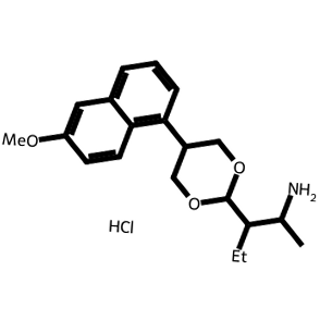 CCC(C(C)N)C1OCC(c2cccc3cc(OC)ccc23)CO1.Cl